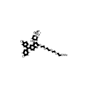 COCCOCCOCCOCCOc1cc(NC2CCN(S(=O)(=O)C(F)(F)F)CC2)c2cc(C(c3ccc(Cl)cc3)c3ccc(Cl)cc3)ccc2n1